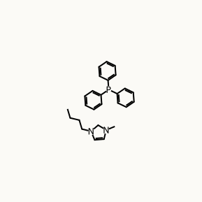 CCCCN1C=CN(C)C1.c1ccc(P(c2ccccc2)c2ccccc2)cc1